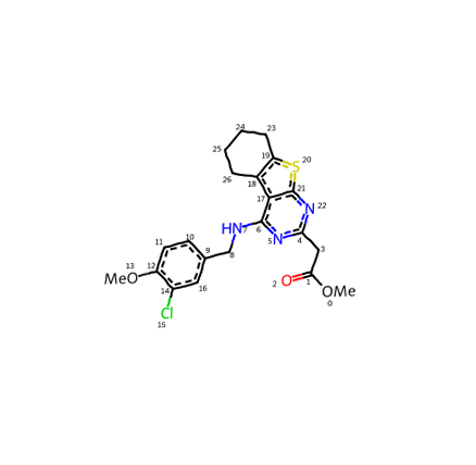 COC(=O)Cc1nc(NCc2ccc(OC)c(Cl)c2)c2c3c(sc2n1)CCCC3